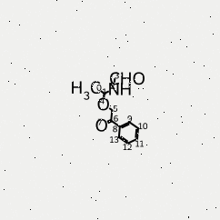 CC(NC=O)OCC(=O)c1ccccc1